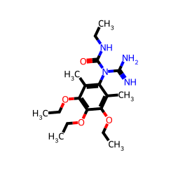 CCNC(=O)N(C(=N)N)c1c(C)c(OCC)c(OCC)c(OCC)c1C